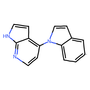 [c]1ccc2c(c1)ccn2-c1ccnc2[nH]ccc12